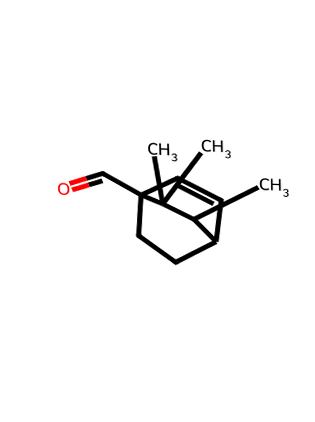 CC1C2C=CC(C=O)(CC2)C1(C)C